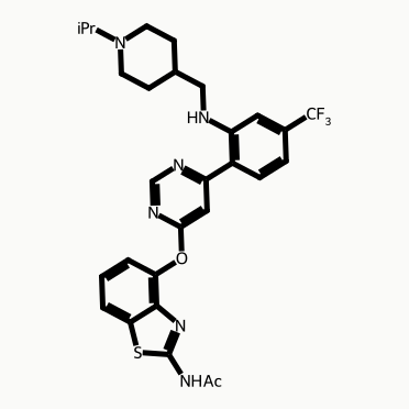 CC(=O)Nc1nc2c(Oc3cc(-c4ccc(C(F)(F)F)cc4NCC4CCN(C(C)C)CC4)ncn3)cccc2s1